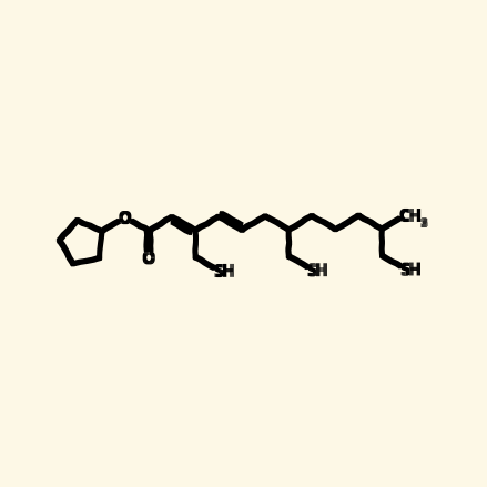 CC(CS)CCCC(CS)CC=CC(=CC(=O)OC1CCCC1)CS